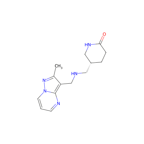 Cc1nn2cccnc2c1CNC[C@H]1CCC(=O)NC1